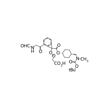 CN(C[C@H]1CC[C@H](OC(=O)C2(OOCC(=O)O)c3cccc(C(=O)CNC=O)c32)CC1)C(=O)OC(C)(C)C